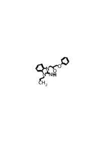 C=CCn1c(=N)n(CC(O)COc2ccccc2)c2ccccc21